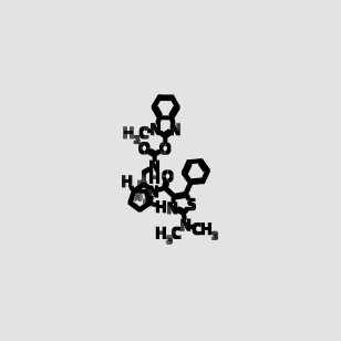 CN(C)c1nc(C(=O)N2[C@@H]3CC[C@@H](C3)[C@H]2CNC(=O)Oc2nc3ccccc3n2C)c(-c2ccccc2)s1